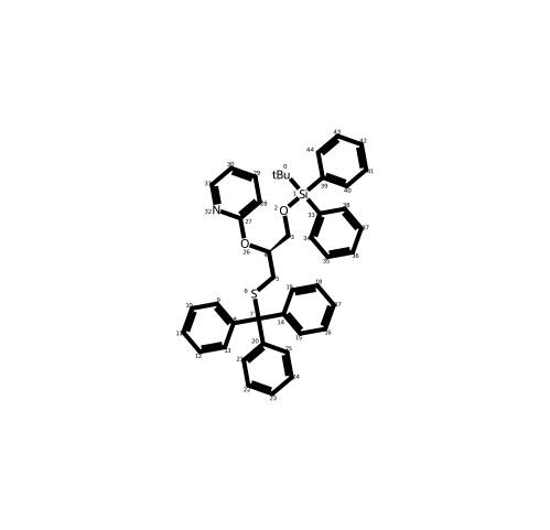 CC(C)(C)[Si](OC[C@@H](CSC(c1ccccc1)(c1ccccc1)c1ccccc1)Oc1ccccn1)(c1ccccc1)c1ccccc1